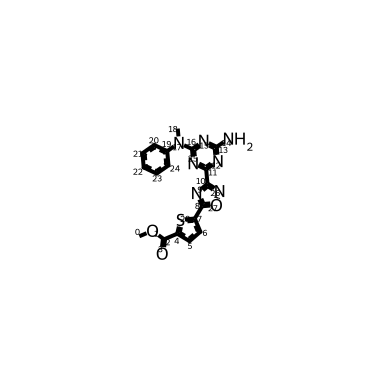 COC(=O)c1ccc(-c2nc(-c3nc(N)nc(N(C)c4ccccc4)n3)no2)s1